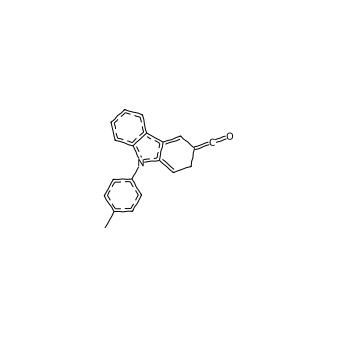 Cc1ccc(-n2c3c(c4ccccc42)=CC(=C=O)CC=3)cc1